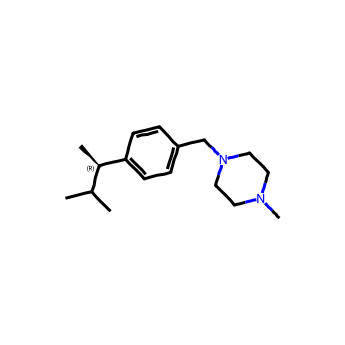 CC(C)[C@@H](C)c1ccc(CN2CCN(C)CC2)cc1